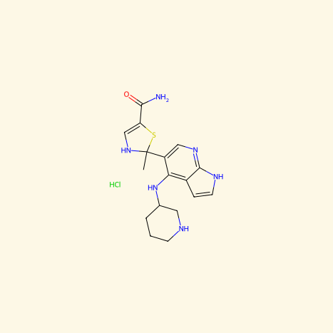 CC1(c2cnc3[nH]ccc3c2NC2CCCNC2)NC=C(C(N)=O)S1.Cl